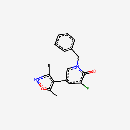 Cc1noc(C)c1-c1cc(F)c(=O)n(Cc2ccccc2)c1